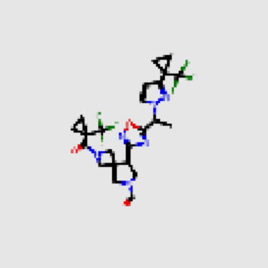 CC(c1nc(C2CN(C=O)CC23CN(C(=O)C2(C(F)(F)F)CC2)C3)no1)n1ccc(C2(C(F)(F)F)CC2)n1